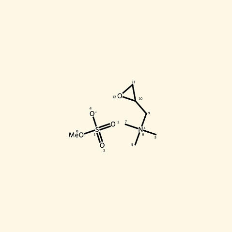 COS(=O)(=O)[O-].C[N+](C)(C)CC1CO1